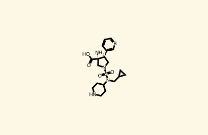 N[C@@]1(C(=O)O)CN(S(=O)(=O)N(CC2CC2)C2CCNCC2)C[C@@H]1c1cbccc1